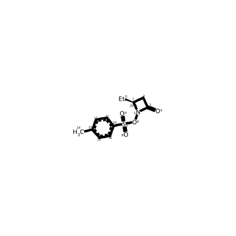 CC[C@H]1CC(=O)N1OS(=O)(=O)c1ccc(C)cc1